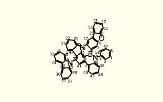 c1ccc(N2B3c4cc5oc6ccccc6c5cc4-n4c5ccccc5c5c(-n6c7ccccc7c7ccccc76)cc(c3c54)-c3ccccc32)cc1